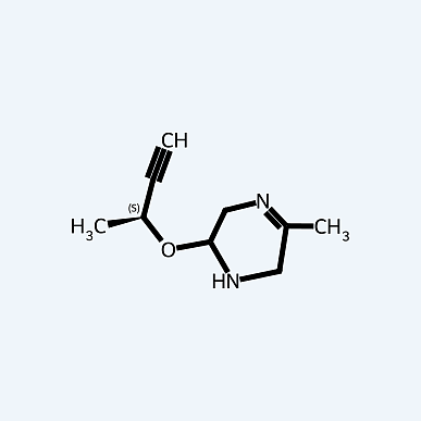 C#C[C@H](C)OC1CN=C(C)CN1